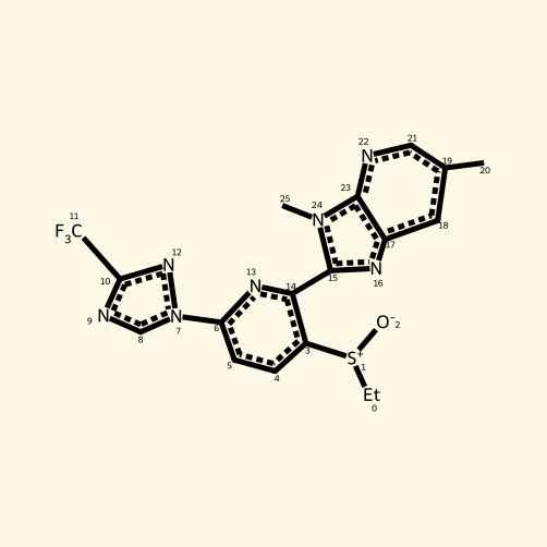 CC[S+]([O-])c1ccc(-n2cnc(C(F)(F)F)n2)nc1-c1nc2cc(C)cnc2n1C